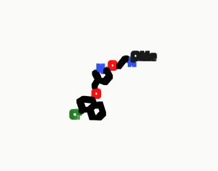 CO/N=C/COc1ccc(COc2ccc(Cl)c3ccccc23)cn1